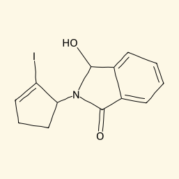 O=C1c2ccccc2C(O)N1C1CCC=C1I